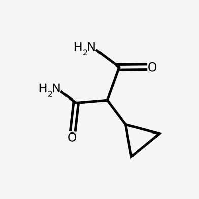 NC(=O)C(C(N)=O)C1CC1